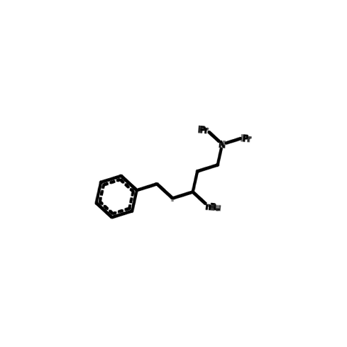 CCCCC([CH]Cc1ccccc1)CCN(C(C)C)C(C)C